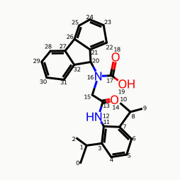 CC(C)c1cccc(C(C)C)c1NC(=O)CN(C(=O)O)C1c2ccccc2-c2ccccc21